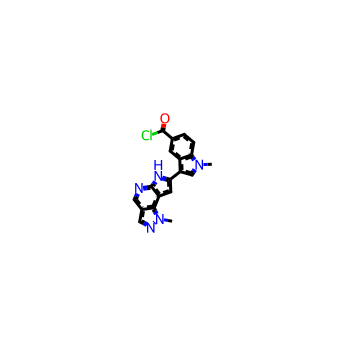 Cn1cc(-c2cc3c(ncc4cnn(C)c43)[nH]2)c2cc(C(=O)Cl)ccc21